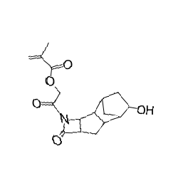 C=C(C)C(=O)OCC(=O)N1C(=O)C2CC3C4CC(CC4O)C3C21